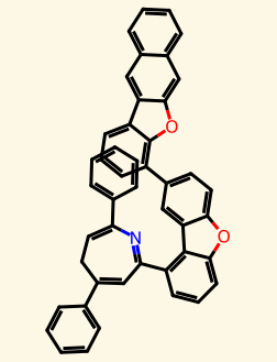 C1=C(c2ccccc2)CC=C(c2ccccc2)N=C1c1cccc2oc3ccc(-c4cccc5c4oc4cc6ccccc6cc45)cc3c12